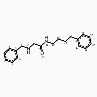 O=C(CNCc1ccccc1)NCCCCc1ccccc1